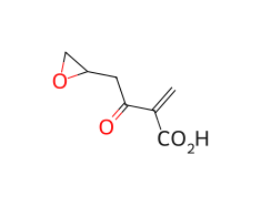 C=C(C(=O)O)C(=O)CC1CO1